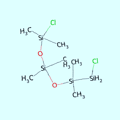 C[Si](C)(Cl)O[Si](C)(C)O[Si](C)(C)[SiH2]Cl